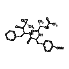 COc1ccc(C[C@H](NC(=O)[C@H](C)NC(=O)C(F)(F)F)C(=O)N[C@@H](Cc2ccccc2)C(=O)[C@]2(C)CO2)cc1